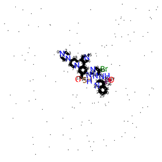 CN1CCN(C2CCN(c3cc(C(=O)S)c(Nc4ncc(Br)c(Nc5cnc6ccccc6c5P(C)(C)=O)n4)cc3-c3ccn(C)c3)CC2)CC1